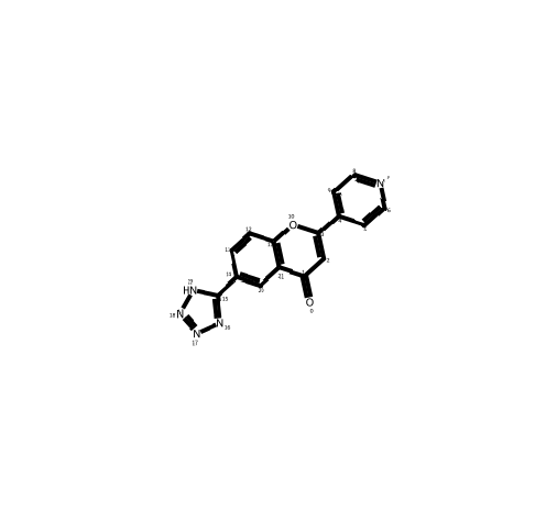 O=c1cc(-c2ccncc2)oc2ccc(-c3nnn[nH]3)cc12